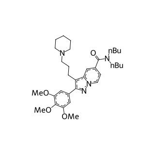 CCCCN(CCCC)C(=O)c1ccn2nc(-c3cc(OC)c(OC)c(OC)c3)c(CCCN3CCCCC3)c2c1